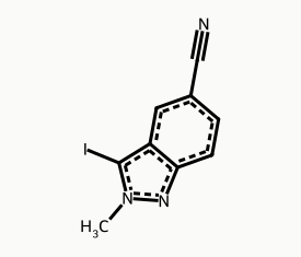 Cn1nc2ccc(C#N)cc2c1I